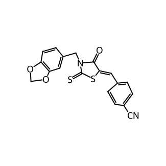 N#Cc1ccc(/C=C2\SC(=S)N(Cc3ccc4c(c3)OCO4)C2=O)cc1